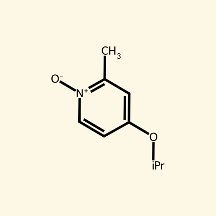 Cc1cc(OC(C)C)cc[n+]1[O-]